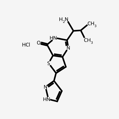 CC(C)C(N)c1nc2cc(-c3cc[nH]n3)sc2c(=O)[nH]1.Cl